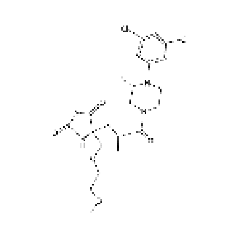 COCCOCC1(CC(C)C(=O)N2CCN(c3cc(Cl)cc(Cl)c3)[C@@H](C)C2)NC(=O)NC1=O